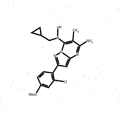 CCCN(CC1CC1)c1c(C)c(N)nc2cc(-c3ccc(OC)cc3Cl)nn12